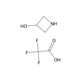 O=C(O)C(F)(F)F.OC1CNC1